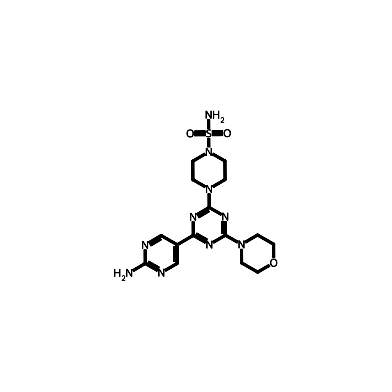 Nc1ncc(-c2nc(N3CCOCC3)nc(N3CCN(S(N)(=O)=O)CC3)n2)cn1